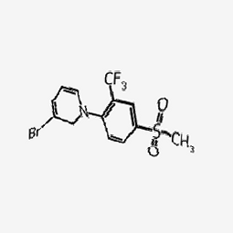 CS(=O)(=O)c1ccc(N2C=CC=C(Br)C2)c(C(F)(F)F)c1